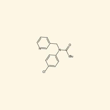 CC(C)(C)C(=O)N(Cc1cccnc1)c1ccc(Cl)cc1